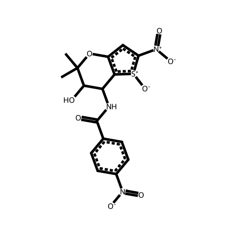 CC1(C)Oc2cc([N+](=O)[O-])[s+]([O-])c2C(NC(=O)c2ccc([N+](=O)[O-])cc2)C1O